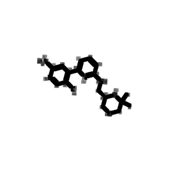 CC1(C)COC[C@@H](CNc2cccc(-c3cc(N)ncc3Cl)n2)O1